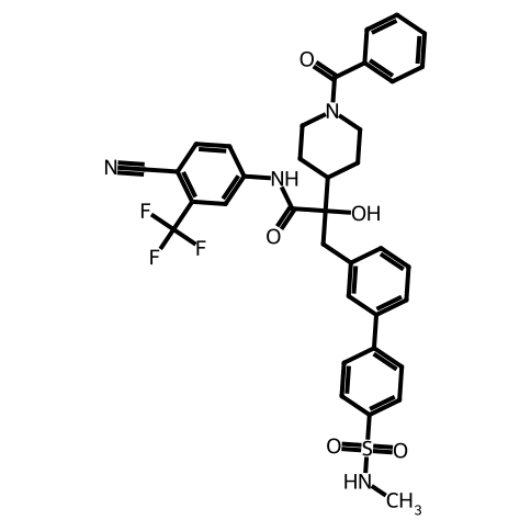 CNS(=O)(=O)c1ccc(-c2cccc(CC(O)(C(=O)Nc3ccc(C#N)c(C(F)(F)F)c3)C3CCN(C(=O)c4ccccc4)CC3)c2)cc1